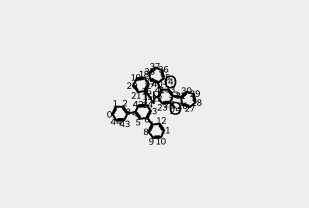 c1ccc(-c2cc(-c3ccccc3)cc(N(c3ccccc3)c3cc4oc5ccccc5c4c4oc5ccccc5c34)c2)cc1